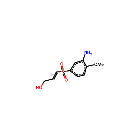 COc1ccc(S(=O)(=O)/C=C/CO)cc1N